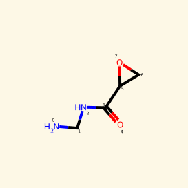 NCNC(=O)C1CO1